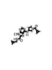 CCn1c(C(=O)NCC2CC2)nc2c(NC3CCN(C(=O)C4CC4)C3)ncnc21